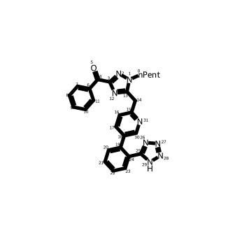 CCCCCn1nc(C(=O)c2ccccc2)nc1Cc1ccc(-c2ccccc2-c2nnn[nH]2)cn1